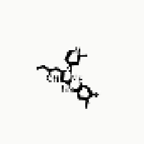 CCC(O)Cc1cc(Nc2cc(F)c(F)cc2F)nn1-c1ccnc(C)c1